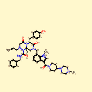 C=CCN1CC(=O)N2[C@@H](Cc3ccc(O)cc3)C(=O)N(Cc3cccc4c(C(=O)N5CCC(N6CCN(C)CC6)CC5)cn(C)c34)C[C@@H]2N1C(=O)NCc1ccccc1